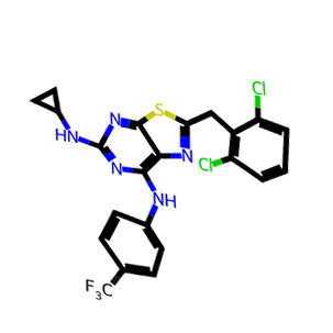 FC(F)(F)c1ccc(Nc2nc(NC3CC3)nc3sc(Cc4c(Cl)cccc4Cl)nc23)cc1